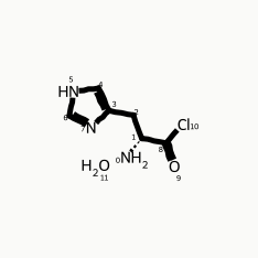 N[C@H](Cc1c[nH]cn1)C(=O)Cl.O